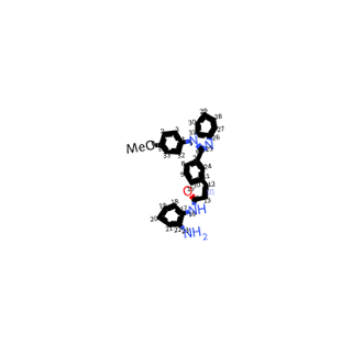 COc1ccc(-n2c(-c3cccc(/C=C\C(=O)Nc4ccccc4N)c3)nc3ccccc32)cc1